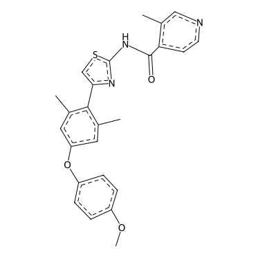 COc1ccc(Oc2cc(C)c(-c3csc(NC(=O)c4ccncc4C)n3)c(C)c2)cc1